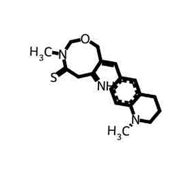 CN1COC/C(=C/c2ccc3c(c2)CCCN3C)C(=N)CC1=S